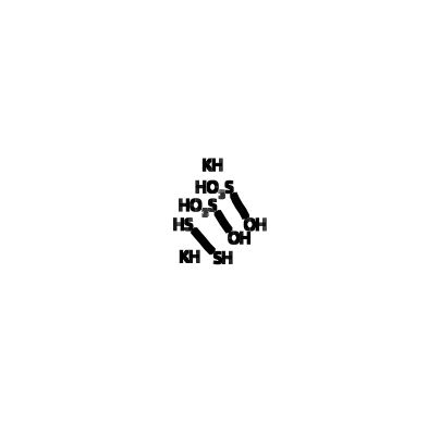 O=S(=O)(O)O.O=S(=O)(O)O.SS.[KH].[KH]